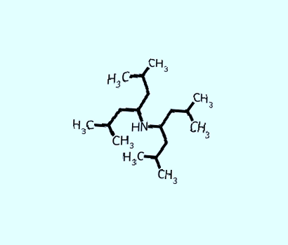 CC(C)CC(CC(C)C)NC(CC(C)C)CC(C)C